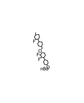 CCCCOC1CCC(C2CCC(OCC3CCC(C4CCC(C)CC4F)CC3)C(F)C2F)CC1